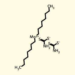 CCCCCCC[CH2][Mo+2][CH2]CCCCCCC.NC(=S)[S-].NC(=S)[S-]